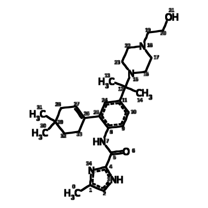 Cc1c[nH]c(C(=O)Nc2ccc(C(C)(C)N3CCN(CCO)CC3)cc2C2=CCC(C)(C)CC2)n1